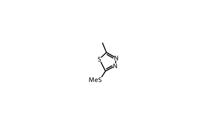 [CH2]Sc1nnc(C)s1